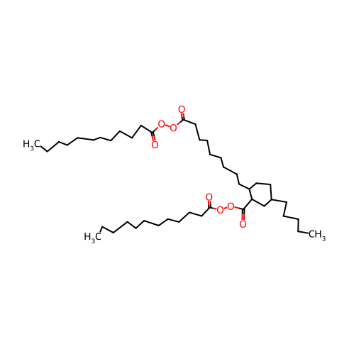 CCCCCCCCCCCC(=O)OOC(=O)CCCCCCCCC1CCC(CCCCC)CC1C(=O)OOC(=O)CCCCCCCCCCC